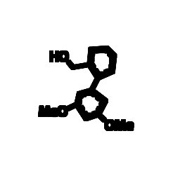 COc1cc(OC)cc(-c2ccccc2CO)c1